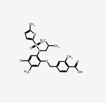 Cc1ccc(S(=O)(=O)N(CC(C)C)c2cc(Cl)c(C)cc2OCc2ccc(C(=O)O)c(C)c2)o1